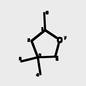 CC1CC(C)(C)[CH]O1